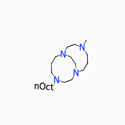 CCCCCCCCN1CCCN2CCN(C)CCCN(CC1)CC2